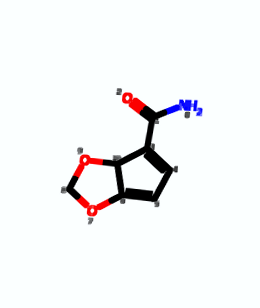 NC(=O)C1=CC=C2OCOC21